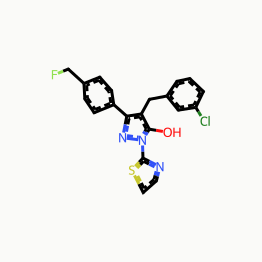 Oc1c(Cc2cccc(Cl)c2)c(-c2ccc(CF)cc2)nn1-c1nccs1